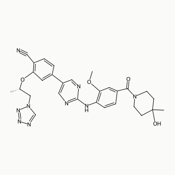 COc1cc(C(=O)N2CCC(C)(O)CC2)ccc1Nc1ncc(-c2ccc(C#N)c(O[C@@H](C)Cn3cnnn3)c2)cn1